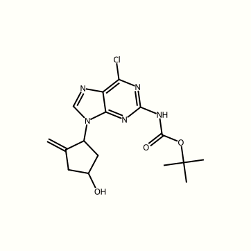 C=C1CC(O)CC1n1cnc2c(Cl)nc(NC(=O)OC(C)(C)C)nc21